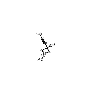 CCC#CC1(O)CN(C(C)=O)C1